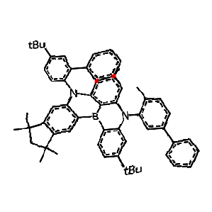 Cc1cc2c3c(c1)N(c1ccc(C(C)(C)C)cc1-c1ccccc1)c1cc4c(cc1B3c1ccc(C(C)(C)C)cc1N2c1cc(-c2ccccc2)ccc1C)C(C)(C)CC4(C)C